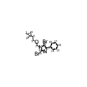 C[Si](C)(C)CCOCn1c(Br)nc(-c2ccccc2)c1Br